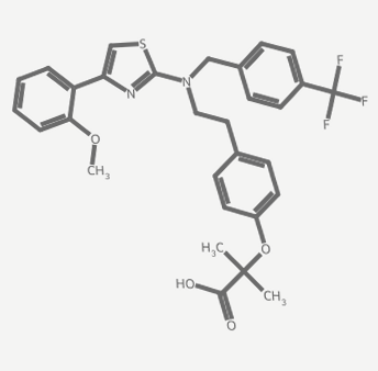 COc1ccccc1-c1csc(N(CCc2ccc(OC(C)(C)C(=O)O)cc2)Cc2ccc(C(F)(F)F)cc2)n1